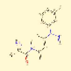 C=NN(/C(C)=C/C(=C)N(C)C(=O)[C@@H](N)CC)c1cccc(C)c1